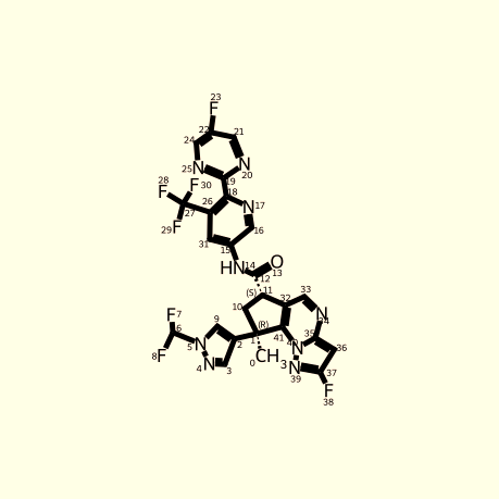 C[C@]1(c2cnn(C(F)F)c2)C[C@H](C(=O)Nc2cnc(-c3ncc(F)cn3)c(C(F)(F)F)c2)c2cnc3cc(F)nn3c21